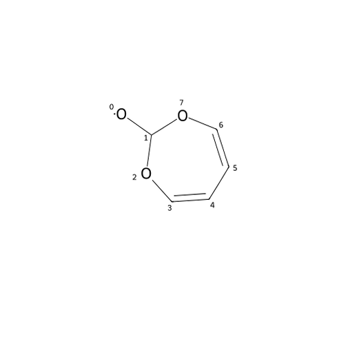 [O]C1OC=CC=CO1